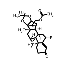 CC(=O)OCC(=O)[C@@]12OC(C)(C)OC1C[C@H]1[C@@H]3C[C@H](F)C4=CC(=O)CC[C@]4(C)[C@@]34O[C@H]4C[C@@]12C